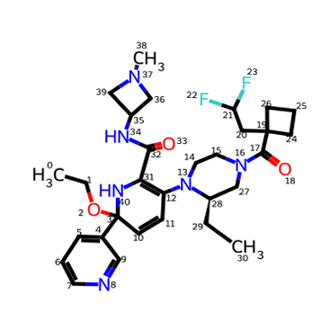 CCOC1(c2cccnc2)C=CC(N2CCN(C(=O)C3(CC(F)F)CCC3)C[C@H]2CC)=C(C(=O)NC2CN(C)C2)N1